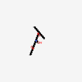 CCCCCCCCC(CCCCCCCC)OC(=O)CCCCCN(CCO)CCCCCCC(=O)OCCCCCCC